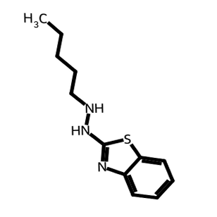 CCCCCNNc1nc2ccccc2s1